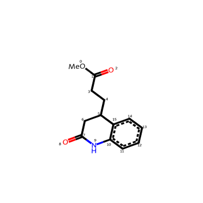 COC(=O)CCC1CC(=O)Nc2ccccc21